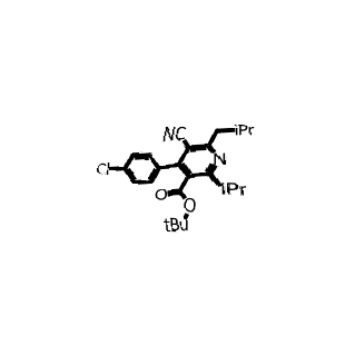 CC(C)Cc1nc(C(C)C)c(C(=O)OC(C)(C)C)c(-c2ccc(Cl)cc2)c1C#N